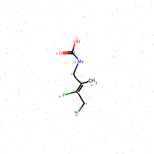 C/C(CNC(=O)O)=C(/F)CBr